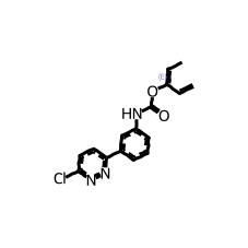 C=C/C(=C\C)OC(=O)Nc1cccc(-c2ccc(Cl)nn2)c1